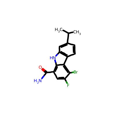 CC(C)c1ccc2c(c1)[nH]c1c(C(N)=O)cc(F)c(Br)c12